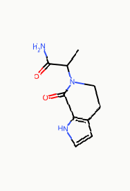 CC(C(N)=O)N1CCc2cc[nH]c2C1=O